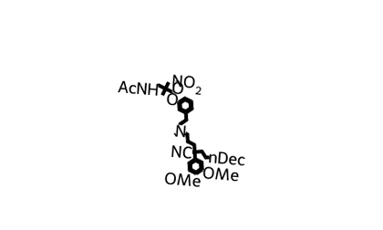 CCCCCCCCCCCCC(C#N)(CCCN(C)CCc1cccc(OC(O[N+](=O)[O-])C(C)(C)CNC(C)=O)c1)c1ccc(OC)c(OC)c1